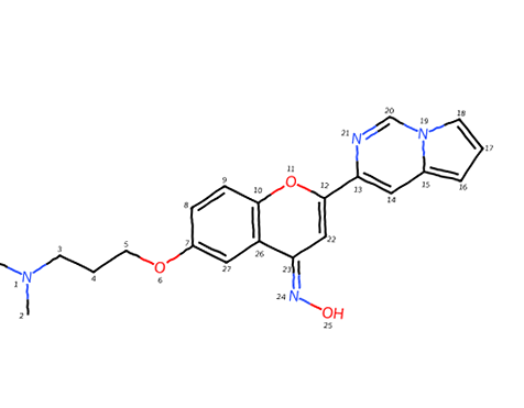 CN(C)CCCOc1ccc2oc(-c3cc4cccn4cn3)c/c(=N\O)c2c1